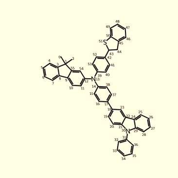 CC1(C)c2ccccc2-c2ccc(N(c3ccc(-c4ccc5c(c4)c4ccccc4n5-c4ccccc4)cc3)c3ccc(C4Cc5ccccc5S4)cc3)cc21